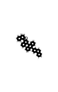 c1ccc2c(c1)ccc1cc(-c3c4ccccc4c(-c4cc5oc6ccc7ccccc7c6c5c5ccccc45)c4ccccc34)ccc12